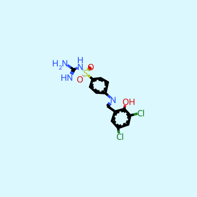 N=C(N)NS(=O)(=O)c1ccc(/N=C/c2cc(Cl)cc(Cl)c2O)cc1